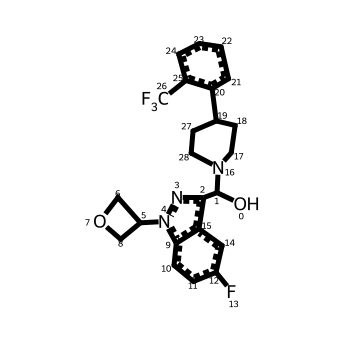 OC(c1nn(C2COC2)c2ccc(F)cc12)N1CCC(c2ccccc2C(F)(F)F)CC1